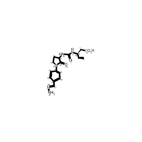 C=C[C@H](CC(=O)O)NC(=O)NC1CCN(c2ccc(C=NN)cc2)C1=O